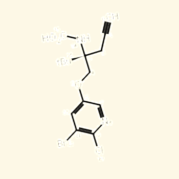 C#CC[C@](COc1cnc(Cl)c(Br)c1)(NC(=O)O)C(C)(C)C